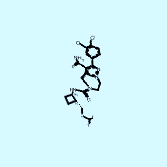 NC(=O)c1c(-c2ccc(Cl)c(Cl)c2)nn2c1CN(C(=O)N[C@@H]1CC[C@H]1COC(F)F)CC2